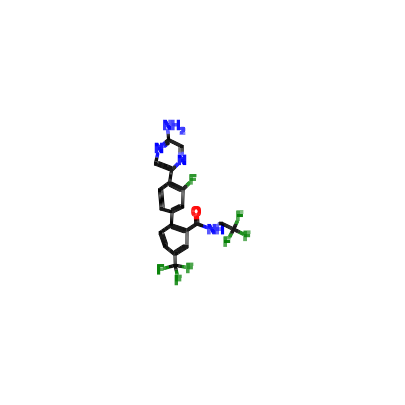 Nc1cnc(-c2ccc(-c3ccc(C(F)(F)F)cc3C(=O)NCC(F)(F)F)cc2F)cn1